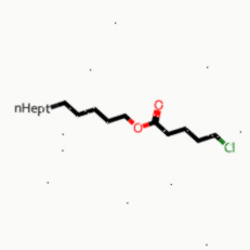 CCCCCCCCCCCCOC(=O)CCCCCl